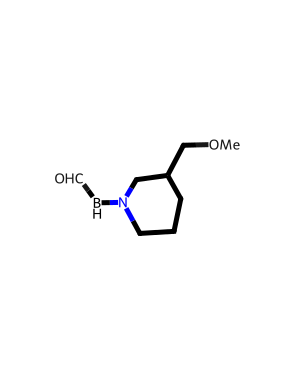 COCC1CCCN(BC=O)C1